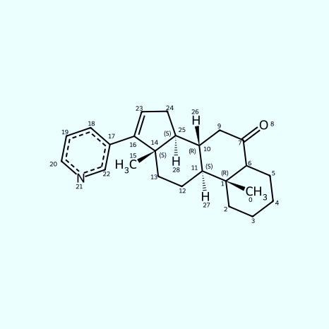 C[C@]12CCCCC1C(=O)C[C@@H]1[C@@H]2CC[C@]2(C)C(c3cccnc3)=CC[C@@H]12